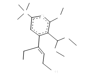 CCC(=CCO)c1cc([Si](C)(C)C)nc(OC)c1C(OC)OC